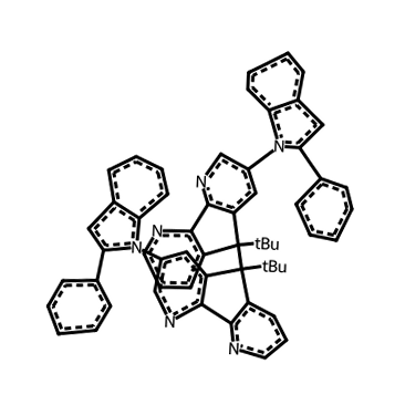 CC(C)(C)C1(C2(C(C)(C)C)c3cccnc3-c3ncc(-n4c(-c5ccccc5)cc5ccccc54)cc32)c2cccnc2-c2ncc(-n3c(-c4ccccc4)cc4ccccc43)cc21